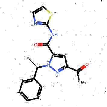 CNC(=O)c1cc(C(=O)Nc2nccs2)n([C@@H](C)c2ccccc2)n1